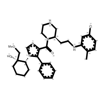 COC[C@]1(O)CCCC[C@H]1n1cnc(C(=O)N2CCNC[C@H]2CCNc2cc(Cl)ccc2C)c1-c1ccccc1